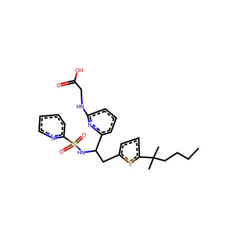 CCCCC(C)(C)c1ccc(CC(NS(=O)(=O)c2ccccn2)c2cccc(NCC(=O)O)n2)s1